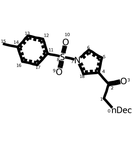 CCCCCCCCCCCC(=O)c1ccn(S(=O)(=O)c2ccc(C)cc2)c1